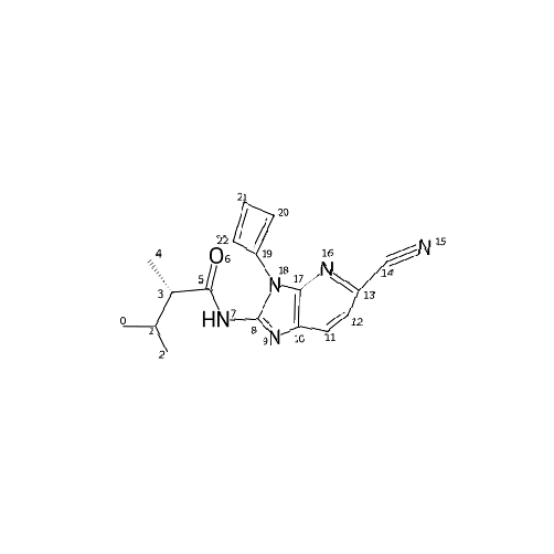 CC(C)[C@H](C)C(=O)Nc1nc2ccc(C#N)nc2n1C1=CC=C1